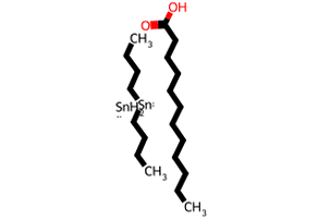 CCCCCCCCCCCC(=O)O.CCC[CH2][Sn][CH2]CCC.[SnH2]